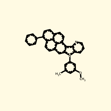 COc1cc(C)cc(-n2c3cccnc3c3c4ccc5ccc(-c6ccccc6)c6ccc(cc32)c4c56)c1